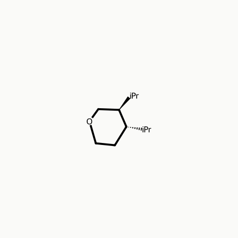 CC(C)[C@@H]1CCOC[C@H]1C(C)C